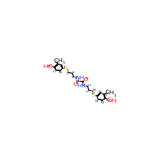 Cc1cc(SCCCNC(=O)C(=O)NCCCSc2ccc(O)c(C)c2)ccc1O